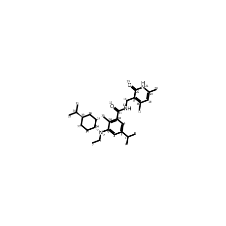 CCN(c1cc(C(C)C)cc(C(=O)NCc2c(C)cc(C)[nH]c2=O)c1C)[C@H]1CC[C@H](C(C)C)CC1